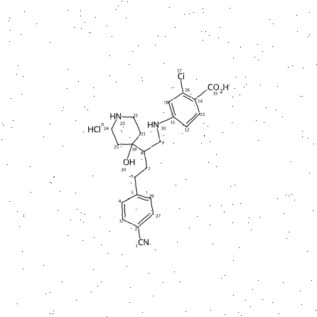 Cl.N#Cc1ccc(CCC(CNc2ccc(C(=O)O)c(Cl)c2)C2(O)CCNCC2)cc1